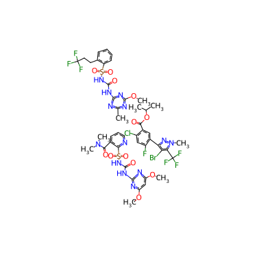 CC(C)OC(=O)c1cc(-c2nn(C)c(C(F)(F)F)c2Br)c(F)cc1Cl.COc1cc(OC)nc(NC(=O)NS(=O)(=O)c2ncccc2C(=O)N(C)C)n1.COc1nc(C)nc(NC(=O)NS(=O)(=O)c2ccccc2CCC(F)(F)F)n1